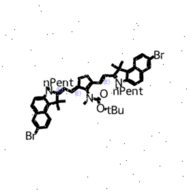 CCCCCN1/C(=C/C=C2\CCC(/C=C/C3=[N+](CCCCC)c4ccc5cc(Br)ccc5c4C3(C)C)=C2N(C)C(=O)OC(C)(C)C)C(C)(C)c2c1ccc1cc(Br)ccc21